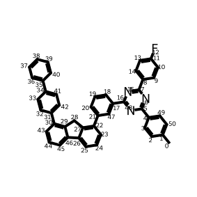 Cc1ccc(-c2nc(-c3ccc(F)cc3)nc(-c3cccc(-c4cccc5c4Cc4c(-c6ccc(-c7ccccc7)cc6)cccc4-5)c3)n2)cc1